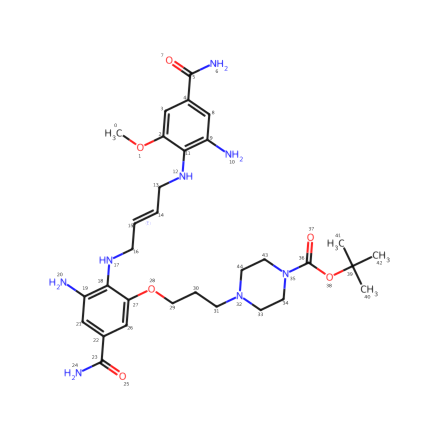 COc1cc(C(N)=O)cc(N)c1NC/C=C/CNc1c(N)cc(C(N)=O)cc1OCCCN1CCN(C(=O)OC(C)(C)C)CC1